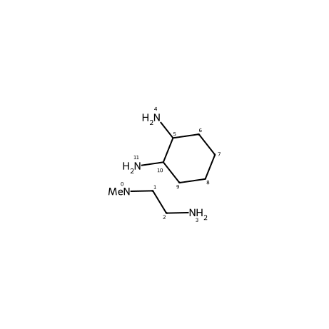 CNCCN.NC1CCCCC1N